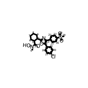 CN(O)C(=O)C1CCCCC1c1nc(-c2ccc(S(C)(=O)=O)cc2)c(-c2ccc(Cl)cc2)o1